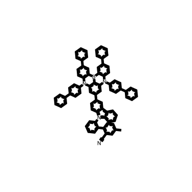 Cc1ccc(-c2ccccc2-n2c3ccccc3c3cc(-c4cc5c6c(c4)N(c4ccc(-c7ccccc7)cc4)c4ccc(-c7ccccc7)cc4B6c4cc(-c6ccccc6)ccc4N5c4ccc(-c5ccccc5)cc4)ccc32)c(C#N)c1